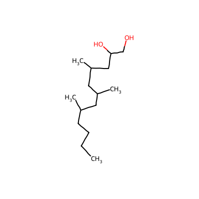 CCCCC(C)CC(C)CC(C)CC(O)CO